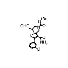 CC(C)(C)OC(=O)N1Cc2c(C(N)=O)c(-c3cccc(Cl)c3)nn2C(CC=O)C1